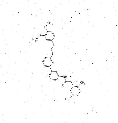 COc1ccc(CCOc2cccc(-c3cccc(NC(=O)CC4CN(C)CCN4C)c3)n2)cc1OC